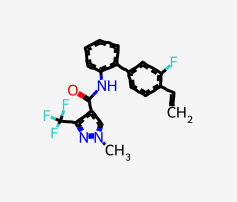 C=Cc1ccc(-c2ccccc2NC(=O)c2cn(C)nc2C(F)(F)F)cc1F